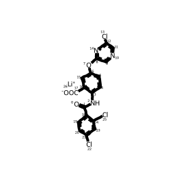 O=C(Nc1ccc(Oc2cncc(Cl)n2)cc1C(=O)[O-])c1ccc(Cl)cc1Cl.[Li+]